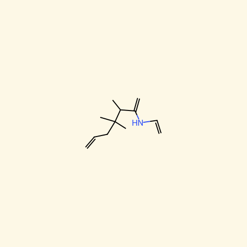 C=CCC(C)(C)C(C)C(=C)NC=C